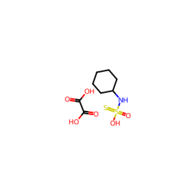 O=C(O)C(=O)O.O=S(O)(=S)NC1CCCCC1